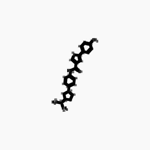 Cc1ccc(-c2nc(C(=O)Nc3ccc(N4CCC(N(C)C)C4)cc3)cs2)cc1